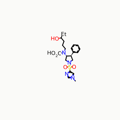 CCC(O)CCCN(C(=O)O)[C@H]1CN(S(=O)(=O)c2cn(C)cn2)C[C@@H]1c1ccccc1